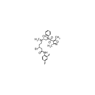 CCC(CCN(C)[C@H](C)CN(c1ccccc1)S(=O)(=O)c1c(C)noc1C)CC(=O)Nc1ccc(F)cc1F